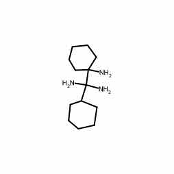 NC1(C(N)(N)C2CCCCC2)CCCCC1